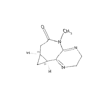 CN1C(=O)C[C@@H]2C[C@@H]2C2=NCCN=C21